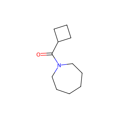 O=C(C1CCC1)N1CCCCCC1